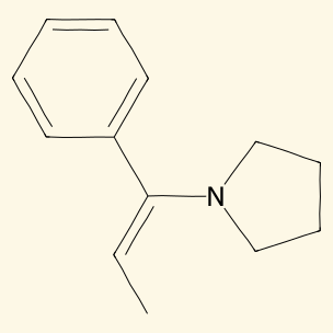 CC=C(c1ccccc1)N1CCCC1